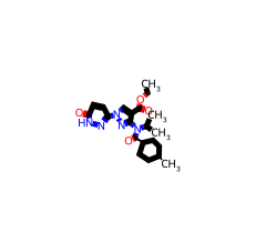 CCOC(=O)c1cn(-c2ccc(=O)[nH]n2)nc1N(C(=O)[C@H]1CC[C@H](C)CC1)C(C)C